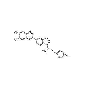 CN(C)C(CCc1ccc(F)cc1)C1OCc2cc(-c3cnc4cc(Cl)c(Cl)cc4c3)ccc21